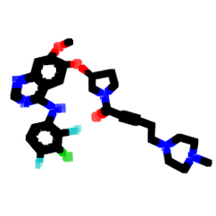 COc1cc2ncnc(Nc3ccc(F)c(Cl)c3F)c2cc1O[C@H]1CCN(C(=O)C#CCCN2CCN(C)CC2)C1